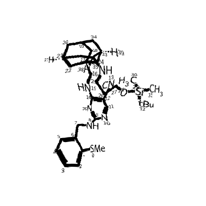 CSc1ccccc1CNc1ncc(C#N)c(NC[C@]23CC4C[C@H](C2)[C@@H](NCCCO[Si](C)(C)C(C)(C)C)[C@@H](C4)C3)n1